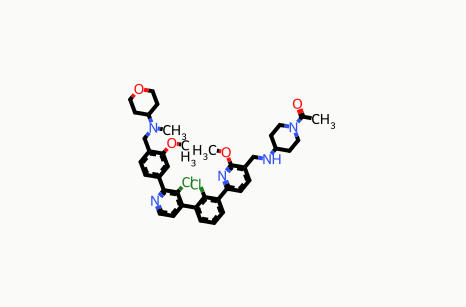 COc1cc(-c2nccc(-c3cccc(-c4ccc(CNC5CCN(C(C)=O)CC5)c(OC)n4)c3Cl)c2Cl)ccc1CN(C)C1CCOCC1